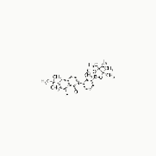 CCc1c(B2OC(C)(C)C(C)(C)O2)cccc1-n1ccc2cc(C(C)(C)C)cc(F)c2c1=O